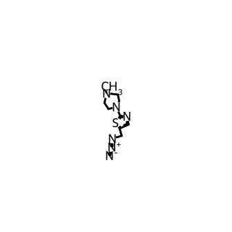 CN1CCN(c2ncc(CN=[N+]=[N-])s2)CC1